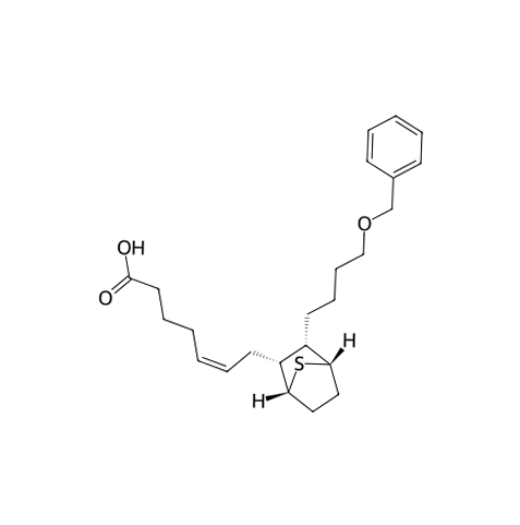 O=C(O)CCC/C=C\C[C@@H]1[C@H](CCCCOCc2ccccc2)[C@@H]2CC[C@H]1S2